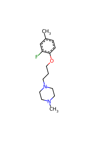 Cc1ccc(OCCCN2CCN(C)CC2)c(F)c1